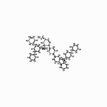 C[C@@H]1C=CC(C2=CCC(c3ccc4c5ccccc5n(-c5ccc(-c6ccccc6)cc5)c4c3)C=C2)C(Nc2cc(C3=CC=CCC3)cc(-c3ccccc3)c2)C1